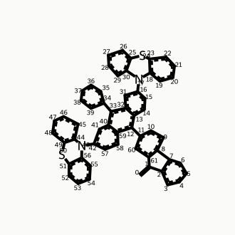 C=C1c2ccccc2-c2ccc(-c3c4ccc(N5c6ccccc6Sc6ccccc65)cc4c(-c4ccccc4)c4cc(N5c6ccccc6Sc6ccccc65)ccc34)cc21